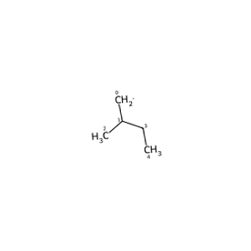 [CH2]C(C)CC